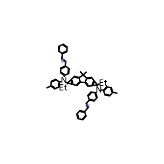 CCC1(N(c2ccc(C)cc2)c2ccc(/C=C/c3ccccc3)cc2)c2cc3c(cc21)C(C)(C)c1cc2c(cc1-3)C2(CC)N(c1ccc(C)cc1)c1ccc(/C=C/c2ccccc2)cc1